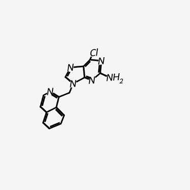 Nc1nc(Cl)c2ncn(Cc3nccc4ccccc34)c2n1